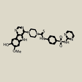 COc1cc2[nH]c3c(N4CCN(C(=S)Nc5ccc(S(=O)(=O)Nc6ncccn6)cc5)CC4)ncnc3c2cc1O